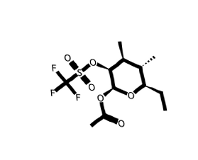 CC[C@H]1O[C@@H](OC(C)=O)[C@@H](OS(=O)(=O)C(F)(F)F)[C@@H](C)[C@@H]1C